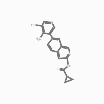 Cc1c(O)cncc1-c1ccc2cc(NC(=O)C3CC3)ncc2c1